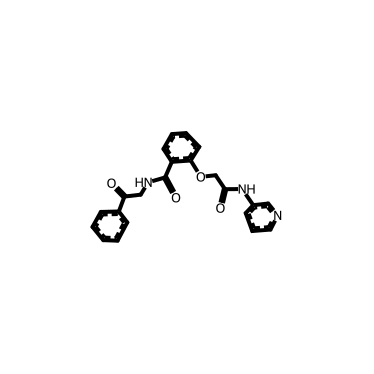 O=C(COc1ccccc1C(=O)NCC(=O)c1ccccc1)Nc1cccnc1